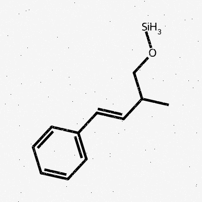 CC(C=Cc1ccccc1)CO[SiH3]